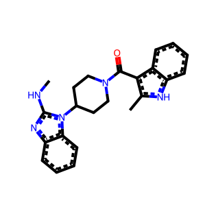 CNc1nc2ccccc2n1C1CCN(C(=O)c2c(C)[nH]c3ccccc23)CC1